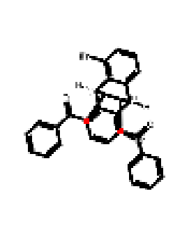 CC(C)c1cccc2c1[C@H]1c3cccc(C(C)C)c3[C@H]2C(OC(=O)c2ccccc2)C1OC(=O)c1ccccc1